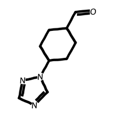 O=CC1CCC(n2cncn2)CC1